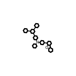 c1ccc(-c2cc(-c3ccccc3)cc(-c3ccc(N(c4ccccc4)c4ccc(-c5cccc6c5oc5ccccc56)cc4)cc3)c2)cc1